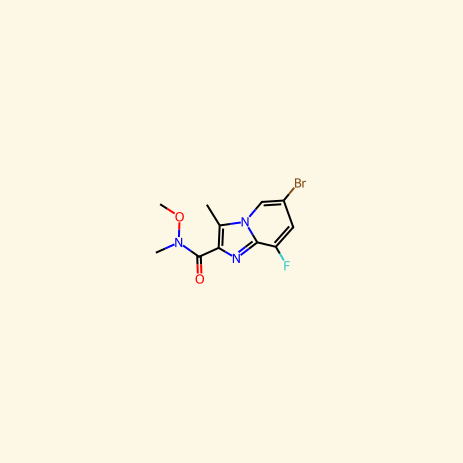 CON(C)C(=O)c1nc2c(F)cc(Br)cn2c1C